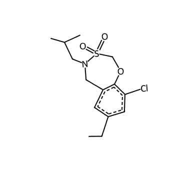 CCc1cc(Cl)c2c(c1)CN(CC(C)C)S(=O)(=O)CO2